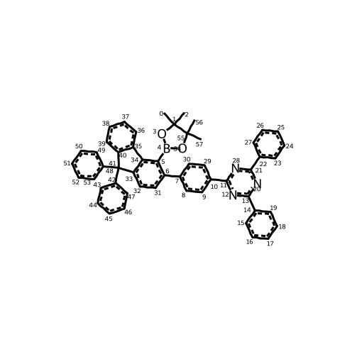 CC1(C)OB(c2c(-c3ccc(-c4nc(-c5ccccc5)nc(-c5ccccc5)n4)cc3)ccc3c2-c2ccccc2C3(c2ccccc2)c2ccccc2)OC1(C)C